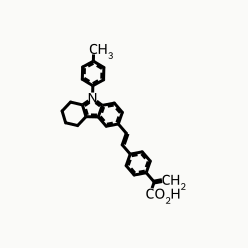 C=C(C(=O)O)c1ccc(C=Cc2ccc3c(c2)c2c(n3-c3ccc(C)cc3)CCCC2)cc1